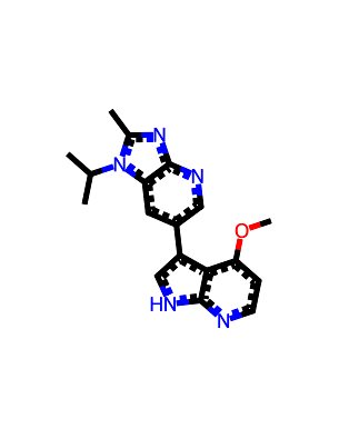 COc1ccnc2[nH]cc(-c3cnc4nc(C)n(C(C)C)c4c3)c12